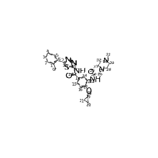 Cc1ccccc1-c1nnc(NC(=O)c2ccc(OC3CC3)c(NC(=O)CN3CCN(C)CC3)c2)s1